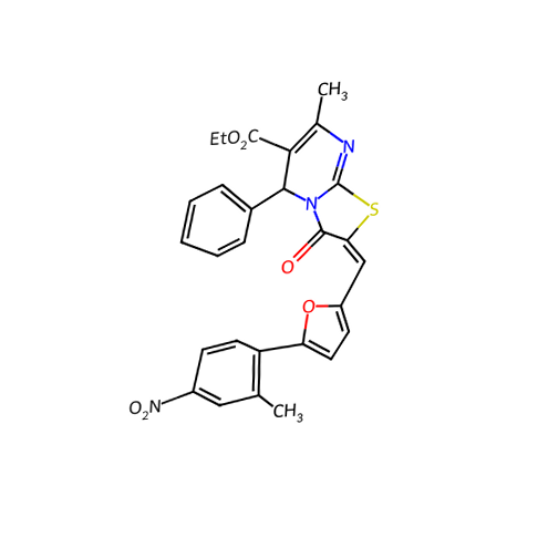 CCOC(=O)C1=C(C)N=c2sc(=Cc3ccc(-c4ccc([N+](=O)[O-])cc4C)o3)c(=O)n2C1c1ccccc1